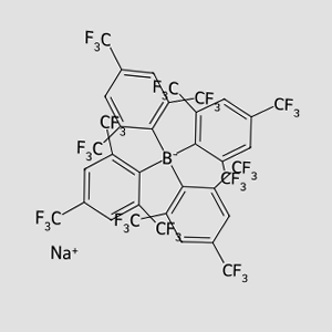 FC(F)(F)c1cc(C(F)(F)F)c([B-](c2c(C(F)(F)F)cc(C(F)(F)F)cc2C(F)(F)F)(c2c(C(F)(F)F)cc(C(F)(F)F)cc2C(F)(F)F)c2c(C(F)(F)F)cc(C(F)(F)F)cc2C(F)(F)F)c(C(F)(F)F)c1.[Na+]